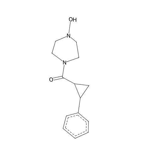 O=C(C1CC1c1ccccc1)N1CCN(O)CC1